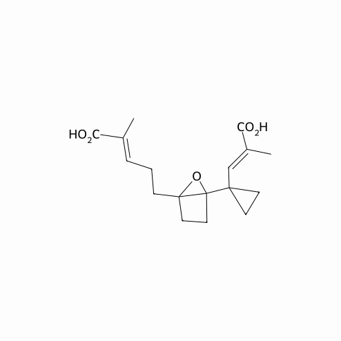 CC(=CCCC12CCC1(C1(C=C(C)C(=O)O)CC1)O2)C(=O)O